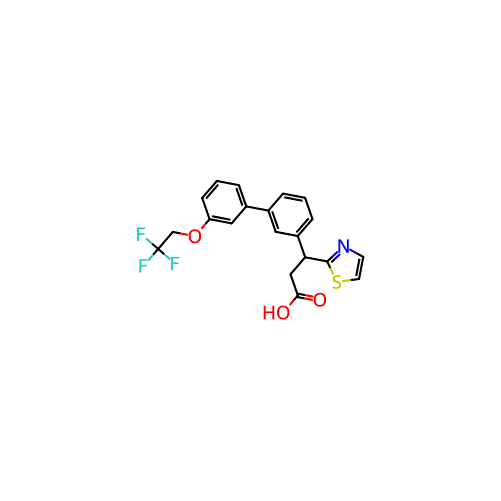 O=C(O)CC(c1cccc(-c2cccc(OCC(F)(F)F)c2)c1)c1nccs1